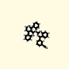 N#Cc1cccc(-c2nc(N3c4ccccc4-c4nccc5c4c3nc3ccccc35)nc3ccccc23)c1